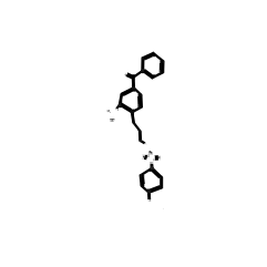 Cc1ccc(S(=O)(=O)OCCCc2ccc(C(=O)c3ccccc3)cc2[N+](=O)[O-])cc1